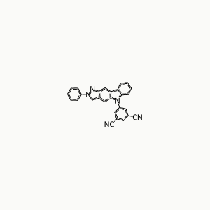 N#Cc1cc(C#N)cc(-n2c3ccccc3c3cc4nn(-c5ccccc5)cc4cc32)c1